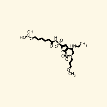 CCN[C@H]1CN(CCCOC)S(=O)(=O)c2sc(S(=O)(=O)NC(=O)CCCCCON(O)O)cc21